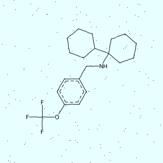 FC(F)(F)Oc1ccc(CNC2(C3CCCCC3)CCCCC2)cc1